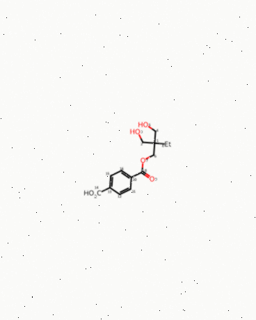 CCC(CO)(CO)COC(=O)c1ccc(C(=O)O)cc1